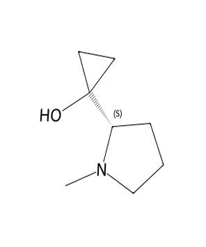 CN1CCC[C@H]1C1(O)CC1